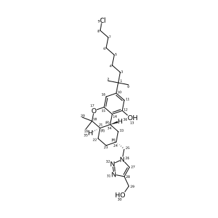 CC(C)(CCCCCCCl)c1cc(O)c2c(c1)OC(C)(C)[C@@H]1CC[C@@H](Cn3cc(CO)nn3)C[C@@H]21